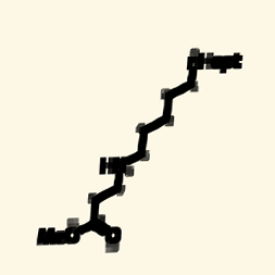 CCCCCCCCCCCCNCCC(=O)OC